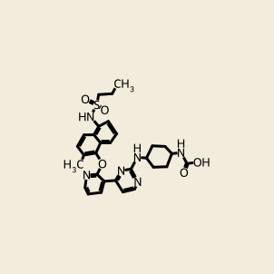 CCCS(=O)(=O)Nc1cccc2c(Oc3ncccc3-c3ccnc(NC4CCC(NC(=O)O)CC4)n3)c(C)ccc12